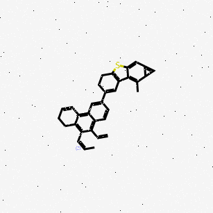 C=Cc1c(/C=C\C)c2c(c3cc(C4=Cc5c(sc6c5=C(C)C5C=C5C=6)CC4)ccc13)C=CCC2